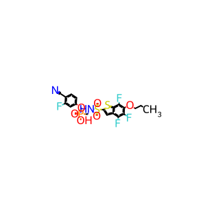 CCCOc1c(F)c(F)c2cc(S(=O)(=O)NCP(=O)(O)Oc3ccc(C#N)c(F)c3)sc2c1F